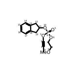 CC#COP(=O)(OCCOC)OC1Cc2ccccc2C1